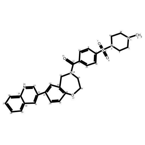 CN1CCN(S(=O)(=O)c2ccc(C(=O)N3CCOc4ccc(-c5cnc6ccccc6c5)cc4C3)cc2)CC1